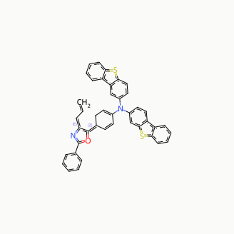 C=C/C=c1/nc(-c2ccccc2)o/c1=C1\C=CC(N(c2ccc3c(c2)sc2ccccc23)c2ccc3sc4ccccc4c3c2)=CC1